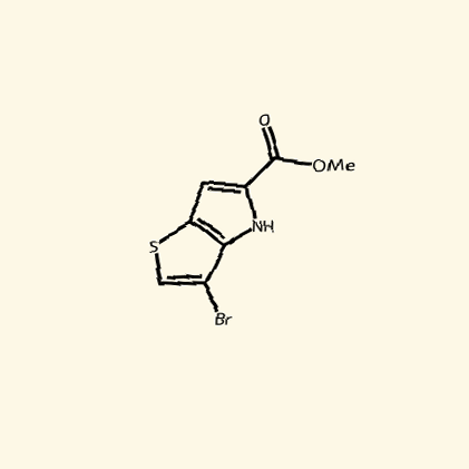 COC(=O)c1cc2scc(Br)c2[nH]1